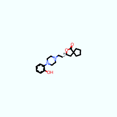 O=C1O[C@@H](CCN2CCN(c3ccccc3O)CC2)CC12CCCC2